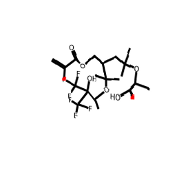 C=C(C)C(=O)OCC(CC(C)(C)OC(C)C(C)(C)O)C(C)(C)OC(C)C(O)(C(F)(F)F)C(F)(F)F